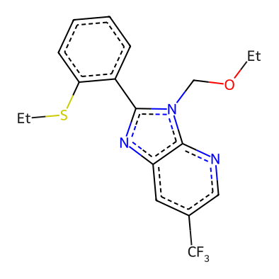 CCOCn1c(-c2ccccc2SCC)nc2cc(C(F)(F)F)cnc21